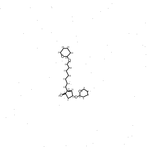 O=C1C[C@@H](OC2CCCCO2)C=C1CCCCCCCOC1CCCCO1